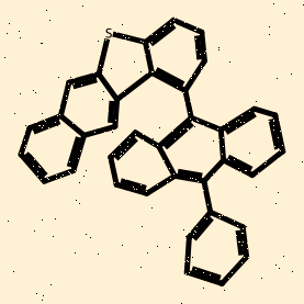 c1ccc(-c2c3ccccc3c(-c3cccc4sc5cc6ccccc6cc5c34)c3ccccc23)cc1